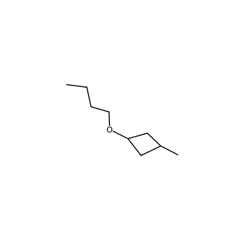 CCCCOC1CC(C)C1